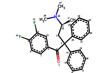 C[C@@H](CC(C(=O)c1ccc(F)c(F)c1)(c1ccccc1)c1ccccc1)N(C)C